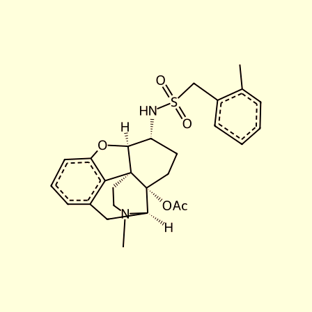 CC(=O)O[C@@]12CC[C@@H](NS(=O)(=O)Cc3ccccc3C)[C@@H]3Oc4cccc5c4[C@@]31CCN(C)[C@@H]2C5